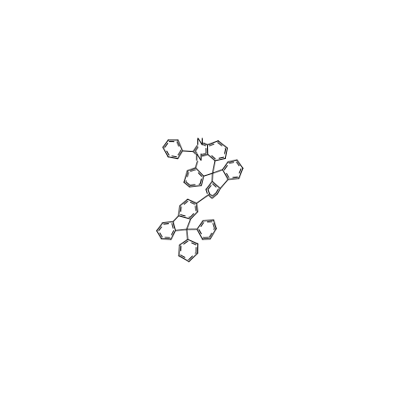 c1ccc(-c2nc3cccc4c3n2-c2ccccc2C42c3ccccc3-c3ccc(-c4ccc5c(c4)C(c4ccccc4)(c4ccccc4)c4ccccc4-5)cc32)cc1